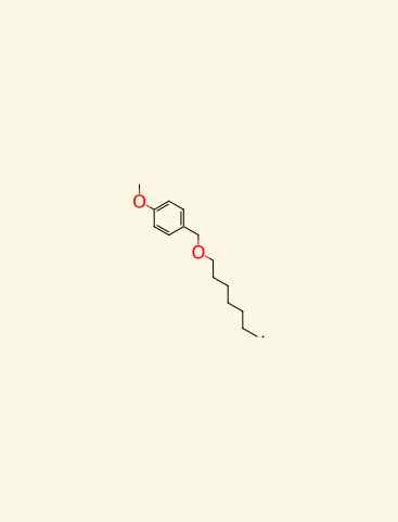 [CH2]CCCCCCOCc1ccc(OC)cc1